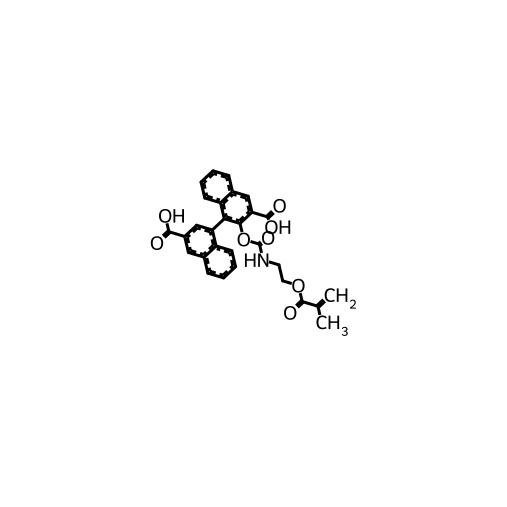 C=C(C)C(=O)OCCNC(=O)Oc1c(C(=O)O)cc2ccccc2c1-c1cc(C(=O)O)cc2ccccc12